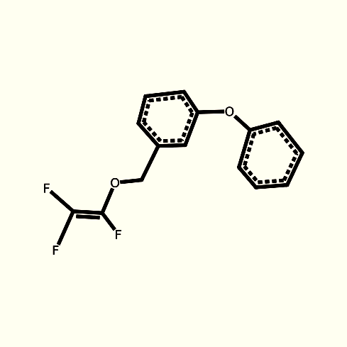 FC(F)=C(F)OCc1cccc(Oc2ccccc2)c1